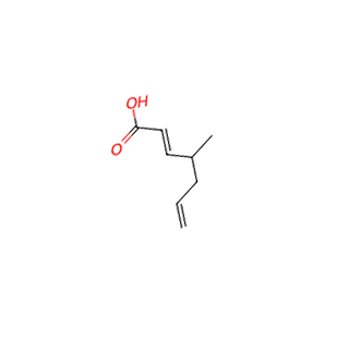 C=CCC(C)C=CC(=O)O